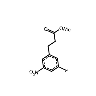 COC(=O)CCc1cc(F)cc([N+](=O)[O-])c1